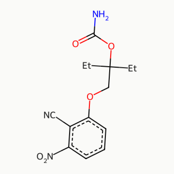 CCC(CC)(COc1cccc([N+](=O)[O-])c1C#N)OC(N)=O